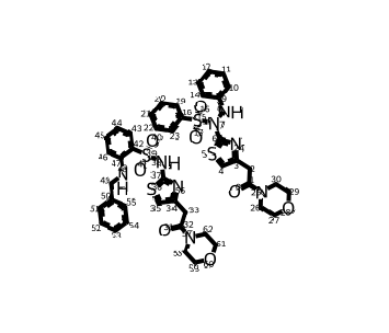 O=C(Cc1csc(N(Nc2ccccc2)S(=O)(=O)c2ccccc2)n1)N1CCOCC1.O=C(Cc1csc(NS(=O)(=O)c2ccccc2NCc2ccccc2)n1)N1CCOCC1